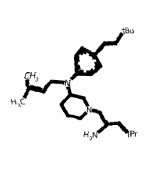 CC(C)=CCN(c1ccc(CCC(C)(C)C)cc1)C1CCCN(CC(N)CC(C)C)C1